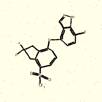 O=S(=O)(c1ccc(Oc2ccc(F)c3[nH]ncc23)c2c1CC(F)(F)C2)C(F)(F)F